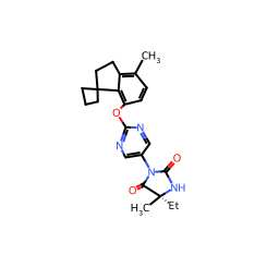 CC[C@@]1(C)NC(=O)N(c2cnc(Oc3ccc(C)c4c3C3(CCC3)CC4)nc2)C1=O